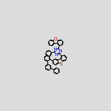 c1ccc(-c2cccc(-c3ccccc3-c3ccc4sc5cccc(-c6nc(-c7ccccc7)nc(-c7cccc8oc9ccccc9c78)n6)c5c4c3)c2)cc1